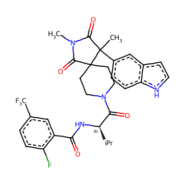 CC(C)[C@@H](NC(=O)c1cc(C(F)(F)F)ccc1F)C(=O)N1CCC2(CC1)C(=O)N(C)C(=O)C2(C)c1ccc2[nH]ccc2c1